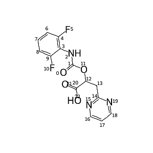 O=C(Nc1c(F)cccc1F)OC(Cc1ncccn1)C(=O)O